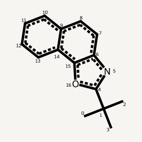 CC(C)(C)c1nc2ccc3ccccc3c2o1